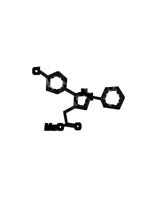 COC(=O)Cc1cn(-c2ccccc2)nc1-c1ccc(Cl)cc1